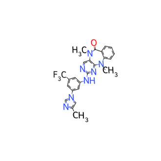 Cc1cn(-c2cc(Nc3ncc4c(n3)N(C)c3ccccc3C(=O)N4C)cc(C(F)(F)F)c2)cn1